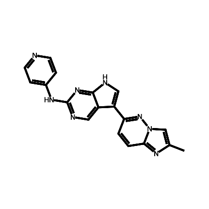 Cc1cn2nc(-c3c[nH]c4nc(Nc5ccncc5)ncc34)ccc2n1